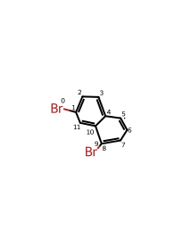 Brc1ccc2[c]ccc(Br)c2c1